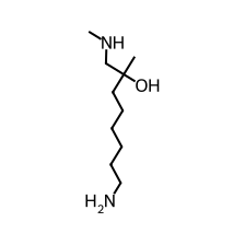 CNCC(C)(O)CCCCCCN